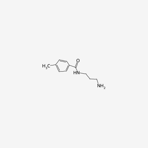 Cc1ccc(C(=O)NCCCN)cc1